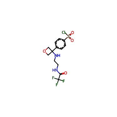 O=C(NCCNC1(c2ccc(S(=O)(=O)Cl)cc2)COC1)C(F)(F)F